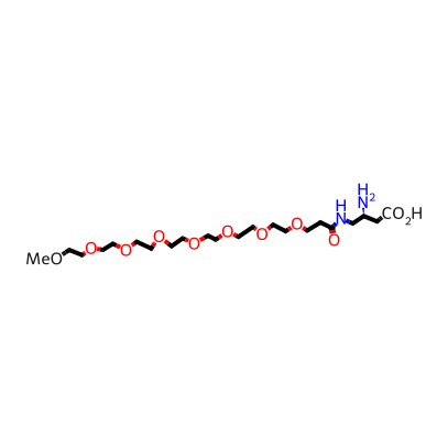 COCCOCCOCCOCCOCCOCCOCCOCCC(=O)NC[C@H](N)CC(=O)O